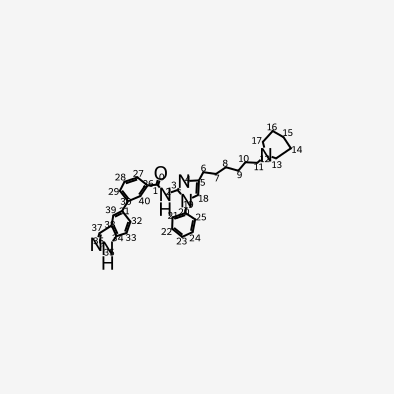 O=C(Nc1nc(CCCCCCN2CCCCC2)cn1-c1ccccc1)c1cccc(-c2ccc3[nH]ncc3c2)c1